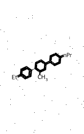 CCCC1CCC(C2CC[C@@H](c3ccc(CC)cc3)[C@H](C)C2)CC1